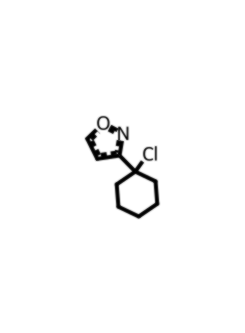 ClC1(c2ccon2)CCCCC1